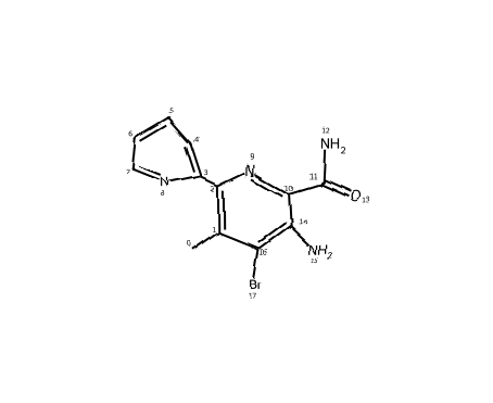 Cc1c(-c2ccccn2)nc(C(N)=O)c(N)c1Br